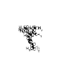 COC(=O)[C@H](COC(C)=O)NC(=O)[C@H](CO[Si](C)(C)C(C)(C)C)NC(=O)OC1CCN(C(=O)OC(C)(C)C)CC1